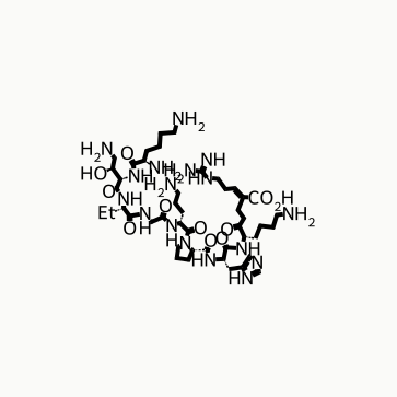 CC[C@H](NC(=O)[C@@H](NC(=O)[C@@H](N)CCCCN)[C@@H](O)CN)C(=O)NCC(=O)N[C@H](CCCN)C(=O)N1CCC[C@H]1C(=O)N[C@@H](Cc1cnc[nH]1)C(=O)N[C@@H](CCCCN)C(=O)CC/C(=C\CCNC(=N)N)C(=O)O